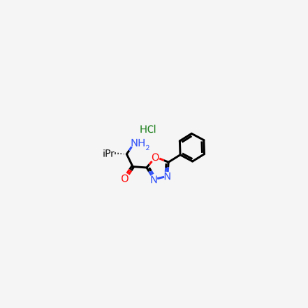 CC(C)[C@H](N)C(=O)c1nnc(-c2ccccc2)o1.Cl